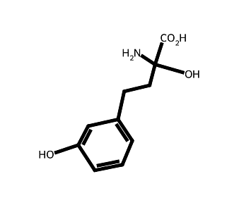 NC(O)(CCc1cccc(O)c1)C(=O)O